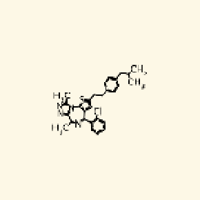 Cc1nnc2n1-c1sc(CCc3ccc(CC(C)C)cc3)cc1C(c1ccccc1Cl)=NC2C